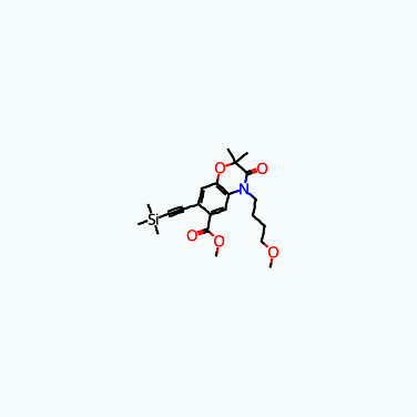 COCCCCN1C(=O)C(C)(C)Oc2cc(C#C[Si](C)(C)C)c(C(=O)OC)cc21